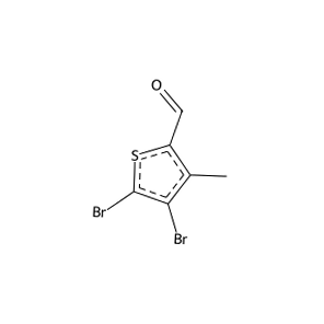 Cc1c(C=O)sc(Br)c1Br